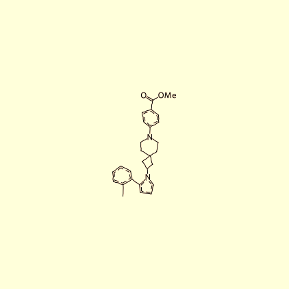 COC(=O)c1ccc(N2CCC3(CC2)CC(n2cccc2-c2ccccc2C)C3)cc1